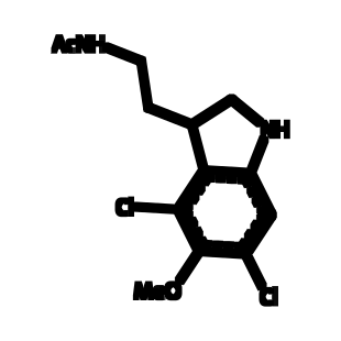 COc1c(Cl)cc2c(c1Cl)C(CCNC(C)=O)CN2